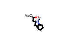 COC(=O)Cc1cc2ccccc2n1C